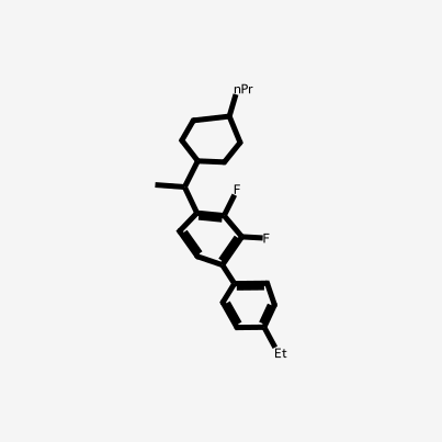 CCCC1CCC(C(C)c2ccc(-c3ccc(CC)cc3)c(F)c2F)CC1